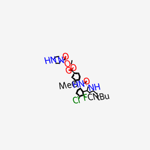 COc1cc(C(=O)OC(C)OC(=O)N2CCNCC2)ccc1NC(=O)[C@@H]1NC(CC(C)(C)C)C(C#N)C1c1cccc(Cl)c1F